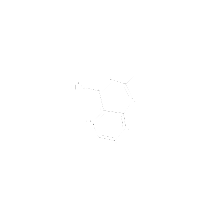 Cc1cc(N)c2ncccc2n1